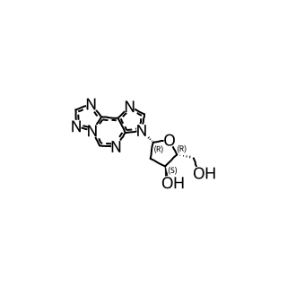 OC[C@H]1O[C@@H](n2cnc3c2ncn2ncnc32)C[C@@H]1O